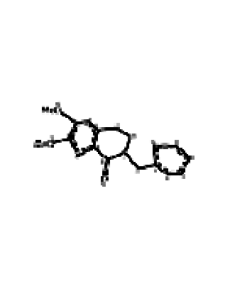 COc1cc2c(cc1OC)C(=O)C(Cc1ccccc1)CC2